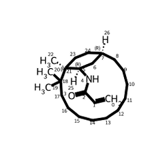 C=CC(=O)N[C@@H]1C[C@@H]2CCCCCCCCCCC(C)(C)[C@@]1(C)CC2